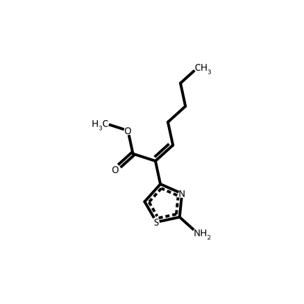 CCCCC=C(C(=O)OC)c1csc(N)n1